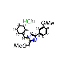 COCc1nc(-c2cccc(OC)c2)cn1CC1CCCCC1.Cl